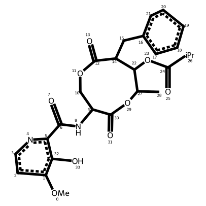 COc1ccnc(C(=O)NC2COC(=O)C(Cc3ccccc3)C(OC(=O)C(C)C)C(C)OC2=O)c1O